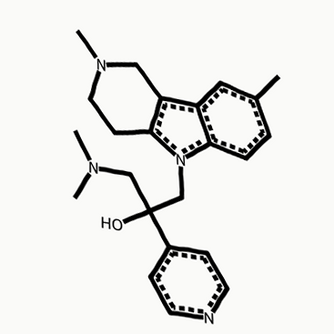 Cc1ccc2c(c1)c1c(n2CC(O)(CN(C)C)c2ccncc2)CCN(C)C1